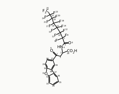 O=C(CC(NC(=O)C(F)(F)C(F)(F)C(F)(F)C(F)(F)C(F)(F)C(F)(F)C(F)(F)F)C(=O)O)c1ccc2oc3ccccc3c2c1